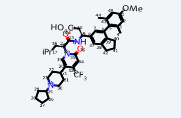 COc1cc(C)c(-c2cc([C@H](CC(=O)O)NC(=O)[C@H](CC(C)C)n3cc(C4CCN(C5CCCC5)CC4)c(C(F)(F)F)cc3=O)cc3c2CCC3)c(C)c1